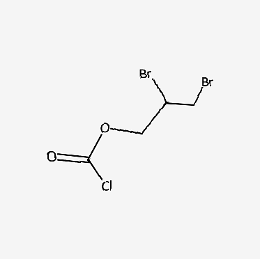 O=C(Cl)OCC(Br)CBr